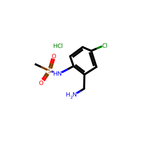 CS(=O)(=O)Nc1ccc(Cl)cc1CN.Cl